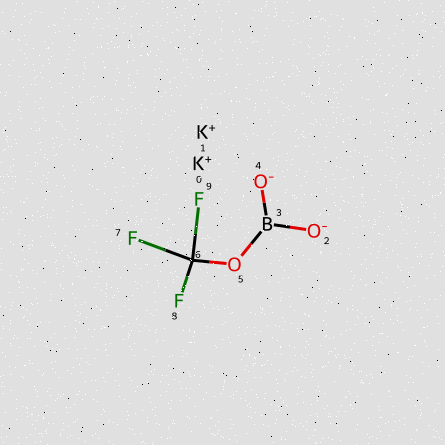 [K+].[K+].[O-]B([O-])OC(F)(F)F